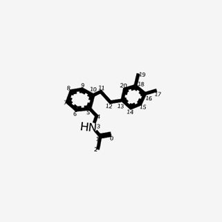 C=C(C)NCc1ccccc1CCc1ccc(C)c(C)c1